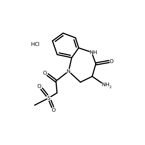 CS(=O)(=O)CC(=O)N1CC(N)C(=O)Nc2ccccc21.Cl